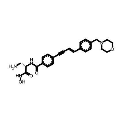 NC[C@H](NC(=O)c1ccc(C#CC=Cc2ccc(CN3CCOCC3)cc2)cc1)C(=O)NO